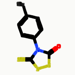 CC(C)(C)c1ccc(-n2c(=O)ssc2=S)cc1